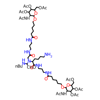 CCCCNC(C=O)N(CC(=O)NCCCNC(=O)CCCCCOC1OC(COC(C)=O)C(OC(C)=O)C(OC(C)=O)C1NC(C)=O)C(CCCCN)C(=O)NCCCNC(=O)CCCCCOC1OC(COC(C)=O)C(OC(C)=O)C(OC(C)=O)C1NC(C)=O